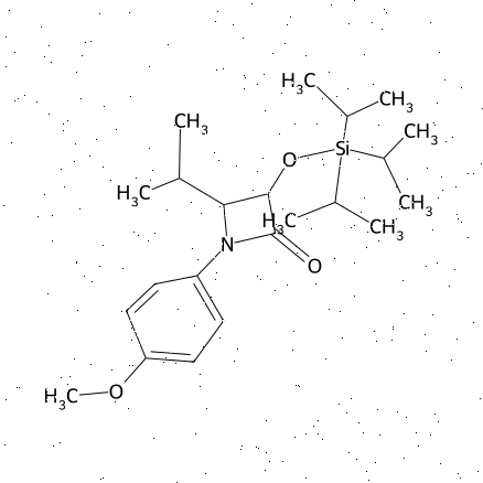 COc1ccc(N2C(=O)C(O[Si](C(C)C)(C(C)C)C(C)C)C2C(C)C)cc1